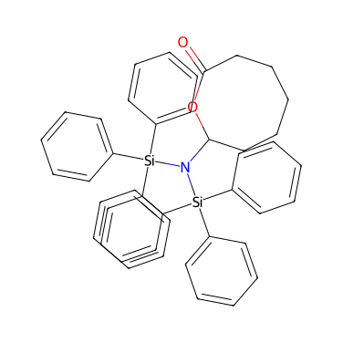 O=C1CCCCCC(N([Si](c2ccccc2)(c2ccccc2)c2ccccc2)[Si](c2ccccc2)(c2ccccc2)c2ccccc2)O1